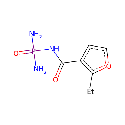 CCc1occc1C(=O)NP(N)(N)=O